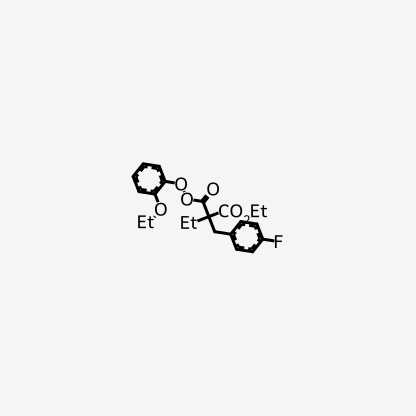 CCOC(=O)C(CC)(Cc1ccc(F)cc1)C(=O)OOc1ccccc1OCC